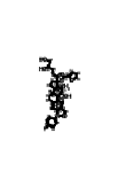 C[C@]12Cc3cnn(-c4ccc(F)cc4)c3C=C1CC[C@@H]1[C@@H]2[C@@H](O)C[C@@]2(C)[C@H]1CC[C@]2(OC(=O)c1ccco1)C(=O)SCC(O)CO